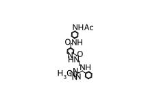 CC(=O)Nc1ccc(NC(=O)c2ccnc(C(=O)NCCNC(c3ccccc3)c3nnn(C)n3)c2)cc1